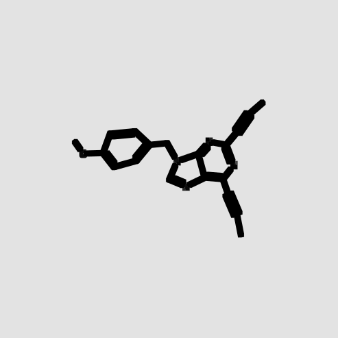 CC#Cc1nc(C#CC)c2ncn(Cc3ccc(OC)cc3)c2n1